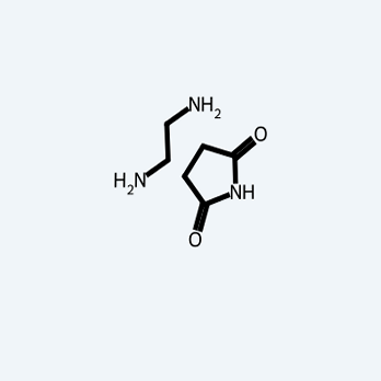 NCCN.O=C1CCC(=O)N1